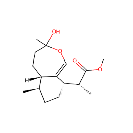 COC(=O)[C@H](C)[C@@H]1CC[C@@H](C)[C@@H]2CCC(C)(O)OC=C21